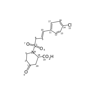 O=C1CCN(S(=O)(=O)CC=Cc2ccc(Cl)cc2)C(C(=O)O)C1